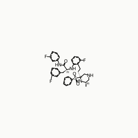 C[C@@H]1CNC[C@](CCc2c(F)cccc2N[C@@H](Cc2cccc(F)c2)C(=O)Nc2cccc(F)c2)(S(=O)(=O)c2ccccc2)N1